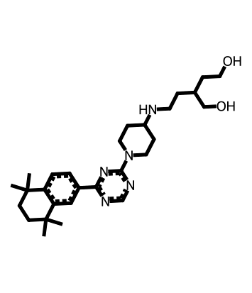 CC1(C)CCC(C)(C)c2cc(-c3ncnc(N4CCC(NCCC(CO)CCO)CC4)n3)ccc21